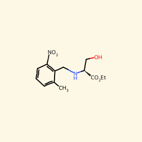 CCOC(=O)[C@H](CO)NCc1c(C)cccc1[N+](=O)[O-]